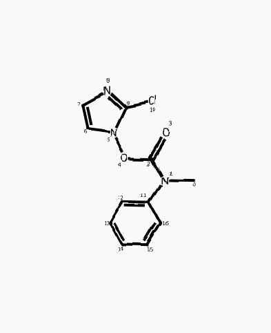 CN(C(=O)On1ccnc1Cl)c1ccccc1